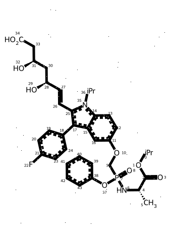 CC(C)OC(=O)[C@H](C)NP(=O)(COc1ccc2c(c1)c(-c1ccc(F)cc1)c(/C=C/[C@@H](O)C[C@@H](O)CC(=O)O)n2C(C)C)Oc1ccccc1